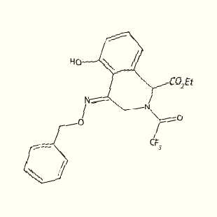 CCOC(=O)C1c2cccc(O)c2C(=NOCc2ccccc2)CN1C(=O)C(F)(F)F